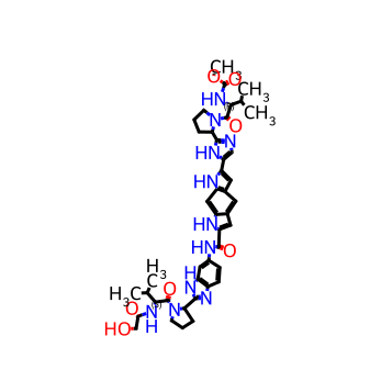 COC(=O)N[C@@H](C(=O)N1CCCC1c1ncc(-c2cc3cc4cc(C(=O)Nc5ccc6nc(C7CCCN7C(=O)[C@@H](NC(=O)CO)C(C)C)[nH]c6c5)[nH]c4cc3[nH]2)[nH]1)C(C)C